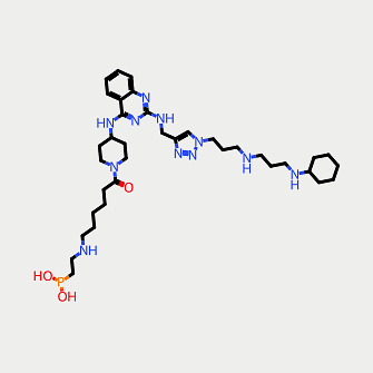 O=C(CCCCCNCCP(O)O)N1CCC(Nc2nc(NCc3cn(CCCNCCCNC4CCCCC4)nn3)nc3ccccc23)CC1